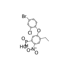 CCc1cc([N+](=O)[O-])c([PH](=O)O)cc1Oc1ccc(Br)cc1Cl